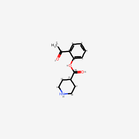 CC(=O)c1ccccc1OC(=O)C1CCNCC1